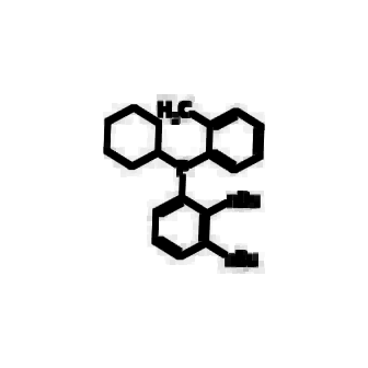 CCCCc1cccc(P(c2ccccc2C)C2CCCCC2)c1CCCC